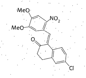 COc1cc(C=C2C(=O)CCc3cc(Cl)ccc32)c([N+](=O)[O-])cc1OC